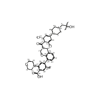 CC(C)(O)CN1CCN(C2=CC(Cl)C(C(=O)N3COc4c(cccc4-c4cc(N5CCOCC5)c(C(=O)O)cc4F)C3)C(Cl)=C2)CC1